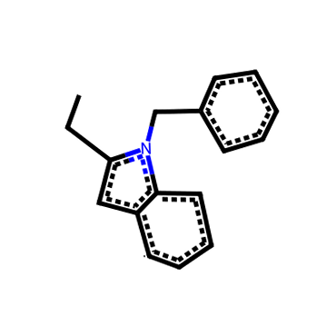 CCc1cc2[c]cccc2n1Cc1ccccc1